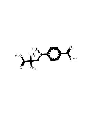 COC(=O)c1ccc(N(C)CC(C)(C)C(=O)OC)cc1